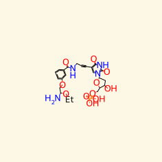 CCOC(N)COc1cccc(C(=O)NCC#Cc2cn(C3CC(O)C(COP(=O)(O)O)O3)c(=O)[nH]c2=O)c1